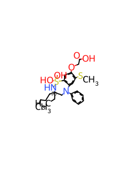 CCCC[C@]1(CC)CN(c2ccccc2)c2cc(SC)c(OCC(=O)O)cc2S(O)(O)N1